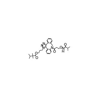 CC(C)C(=O)NOCCC(=O)N1Cc2ccccc2-c2nnn(CCCOC(=O)C(C)(C)C(C)C)c2-c2ccccc21